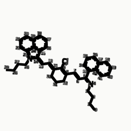 CCCC/N=C(\C=C\C1=C(Cl)C(=C/C=c2\c3cccc4cccc(c43)n2CCCC)/CCC1)c1cccc2ccccc12